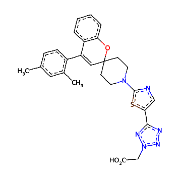 Cc1ccc(C2=CC3(CCN(c4ncc(-c5nnn(CC(=O)O)n5)s4)CC3)Oc3ccccc32)c(C)c1